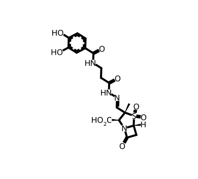 C[C@]1(/C=N/NC(=O)CCNC(=O)c2ccc(O)c(O)c2)[C@H](C(=O)O)N2C(=O)C[C@H]2S1(=O)=O